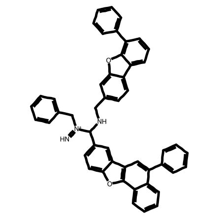 N=[N+](Cc1ccccc1)C(NCc1ccc2c(c1)oc1c(-c3ccccc3)cccc12)c1ccc2oc3c4ccccc4c(-c4ccccc4)cc3c2c1